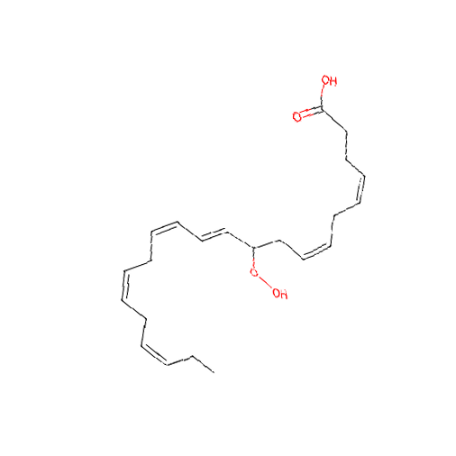 CC/C=C\C/C=C\C/C=C\C=C\C(C/C=C\C/C=C\CCC(=O)O)OO